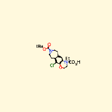 CC[N+]1(C(=O)O)CCOc2c1cc1c(c2Cl)CCN(C(=O)OC(C)(C)C)CC1